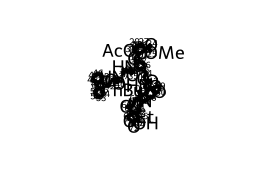 CCCCc1c2c(nc3cc4c(c(NC(=O)OCc5ccc(O[C@@H]6O[C@H](C(=O)OC)[C@@H](C)[C@H](C)[C@H]6OC(C)=O)c(NC(=O)CCNC(=O)OCC6c7ccccc7-c7ccccc76)c5)c13)OCO4)-c1cc3c(c(=O)n1C2)COC(=O)[C@]3(O)CC